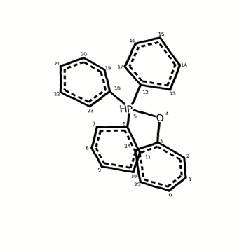 [c]1ccc(O[PH](c2ccccc2)(c2ccccc2)c2ccccc2)cc1